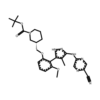 COc1cccc(OC[C@H]2CCCN(C(=O)OC(C)(C)C)C2)c1-c1[nH]nc(Nc2cnc(C#N)cn2)c1C